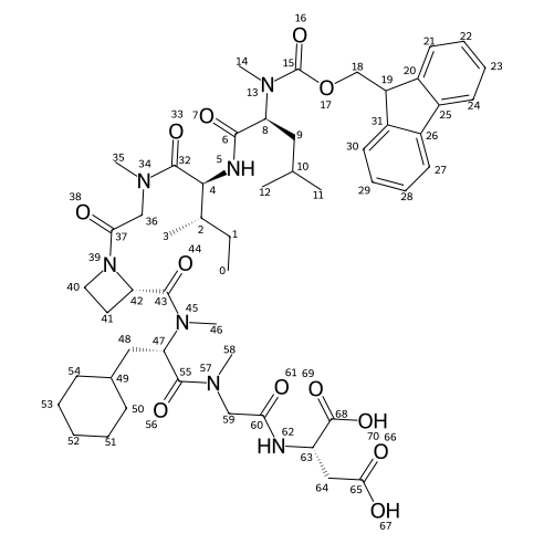 CC[C@H](C)[C@H](NC(=O)[C@H](CC(C)C)N(C)C(=O)OCC1c2ccccc2-c2ccccc21)C(=O)N(C)CC(=O)N1CC[C@H]1C(=O)N(C)[C@@H](CC1CCCCC1)C(=O)N(C)CC(=O)N[C@@H](CC(=O)O)C(=O)O